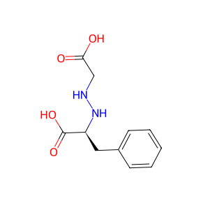 O=C(O)CNN[C@@H](Cc1ccccc1)C(=O)O